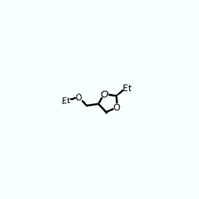 CCOCC1COC(CC)O1